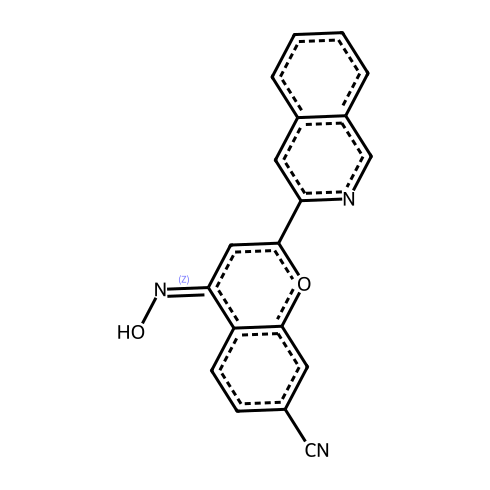 N#Cc1ccc2/c(=N\O)cc(-c3cc4ccccc4cn3)oc2c1